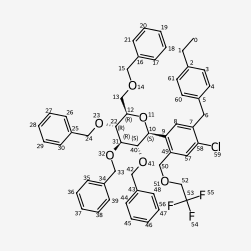 CCc1ccc(Cc2cc([C@@H]3O[C@H](COCc4ccccc4)[C@@H](OCc4ccccc4)[C@H](OCc4ccccc4)[C@H]3OCc3ccccc3)c(COCC(F)(F)F)cc2Cl)cc1